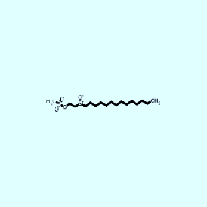 CCCCCCCCCCCCCC[S+]([O-])CCOS(C)(=O)=O